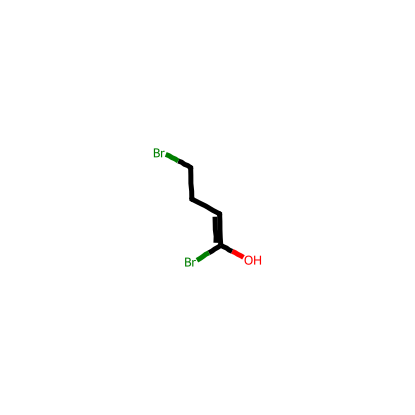 OC(Br)=CCCBr